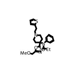 CCC(=O)N(c1ccccc1)C1(c2nnc(COC)o2)CCN(CCc2cccs2)CC1